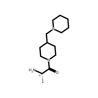 C[C@H](N)C(=O)N1CCC(CN2CCCCC2)CC1